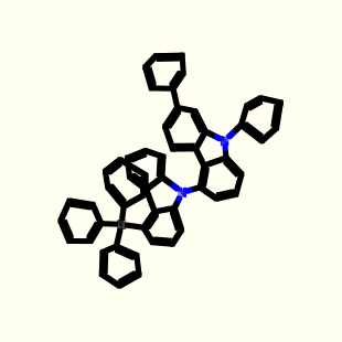 c1ccc(-c2ccc3c4c(-n5c6ccccc6c6c([Si](c7ccccc7)(c7ccccc7)c7ccccc7)cccc65)cccc4n(-c4ccccc4)c3c2)cc1